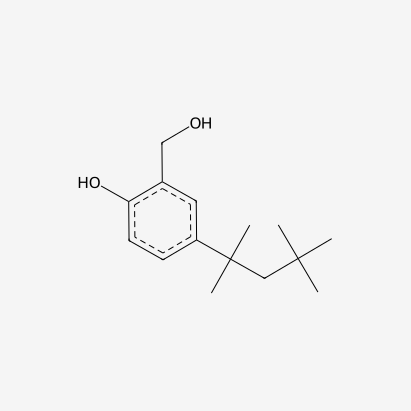 CC(C)(C)CC(C)(C)c1ccc(O)c(CO)c1